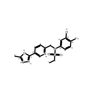 CCS(=O)(=O)N(Cc1ccc(-c2nnc(C)o2)cn1)c1ccc(F)c(Cl)c1